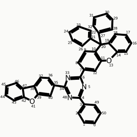 c1ccc(-c2nc(-c3ccc4c(c3)Oc3ccccc3C4(c3ccccc3)c3ccccc3)nc(-c3ccc4c(c3)oc3ccccc34)n2)cc1